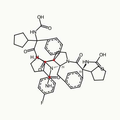 NC(=O)C1CCN2C(=O)C(NC(=O)O)(C3CCCC3)c3ccc(cc3)CC12N(c1ccc(F)cc1)[C@@]12Cc3ccc(cc3)[C@@](NC(=O)O)(C3CCCC3)C(=O)N1CCC2C(N)=O